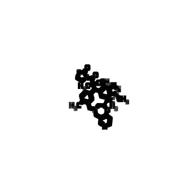 CC[C@@H]1CN(Cc2cc(C(c3ccc4c(nnn4C)c3C)C(C)(C)C(=O)N3CCSC3=O)ccc2C)Cc2cnccc2O1